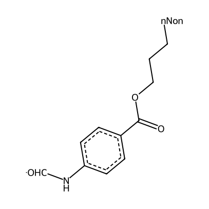 CCCCCCCCCCCCOC(=O)c1ccc(N[C]=O)cc1